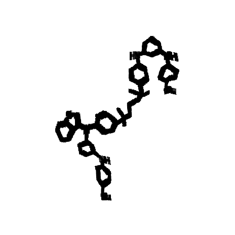 CC(C)(C)c1ccc(Nc2cccc(Nc3ccc(C(C)(C)CCCC(C)(C)c4ccc(N(c5cccc(Nc6ccc(C(C)(C)C)cc6)c5)c5csc6ccccc56)cc4)cc3)c2)cc1